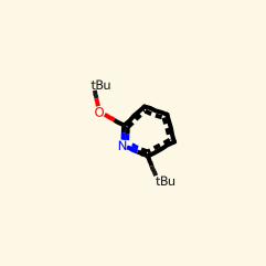 CC(C)(C)Oc1cccc(C(C)(C)C)n1